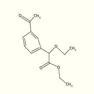 CCOC(=O)C(OCC)c1cccc(C(C)=O)c1